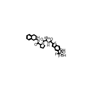 CC(C)(C)C(NC(=O)c1cc2cc(C(F)(F)P(=O)(O)O)ccc2s1)C(=O)N1CCCC1C(=O)NC1CCc2ccccc2C1